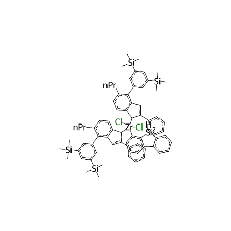 CCCc1ccc2c(c1-c1cc([Si](C)(C)C)cc([Si](C)(C)C)c1)C=C(c1ccccc1)[CH]2[Zr]([Cl])([Cl])([c]1cccc2c1[SiH2]c1ccccc1-2)[CH]1C(c2ccccc2)=Cc2c1ccc(CCC)c2-c1cc([Si](C)(C)C)cc([Si](C)(C)C)c1